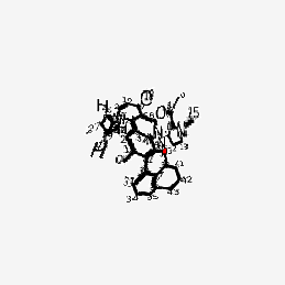 Cc1cc2c(nc(O[C@@H](C)[C@@H]3CCCN3C)c3c(=O)ccn([C@H]4[C@H]5CN[C@@H]4C5)c32)c(F)c1-c1cccc2c1C(C#N)CCC2